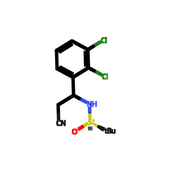 CC(C)(C)[S@@+]([O-])NC(CC#N)c1cccc(Cl)c1Cl